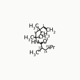 C=CC(C)(C)CC(C)(C)NC(=O)C(C)CC(C)C